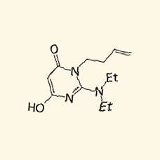 C=CCCn1c(N(CC)CC)nc(O)cc1=O